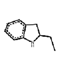 CCC1Cc2c[c]ccc2N1